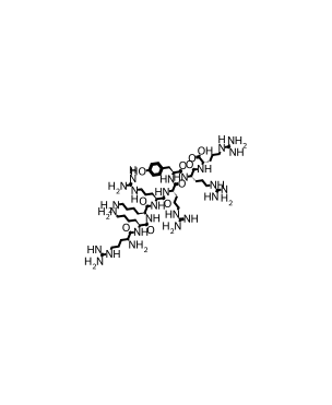 N=C(N)NCCC[C@H](NC(=O)[C@H](CCCNC(=N)N)NC(=O)[C@H](Cc1ccc(O)cc1)NC(=O)[C@H](CCCNC(=N)N)NC(=O)[C@H](CCCNC(=N)N)NC(=O)[C@H](CCCCN)NC(=O)[C@H](CCCCN)NC(=O)[C@@H](N)CCCNC(=N)N)C(=O)O